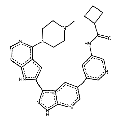 CN1CCN(c2nccc3[nH]c(-c4n[nH]c5ncc(-c6cncc(NC(=O)C7CCC7)c6)cc45)cc23)CC1